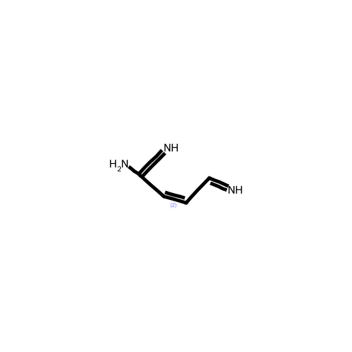 N=C/C=C\C(=N)N